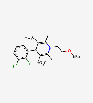 CCCCOCCN1C(C)=C(C(=O)O)C(c2cccc(Cl)c2Cl)C(C(=O)O)=C1C